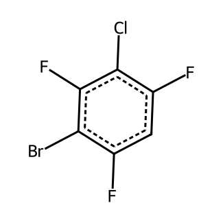 Fc1cc(F)c(Br)c(F)c1Cl